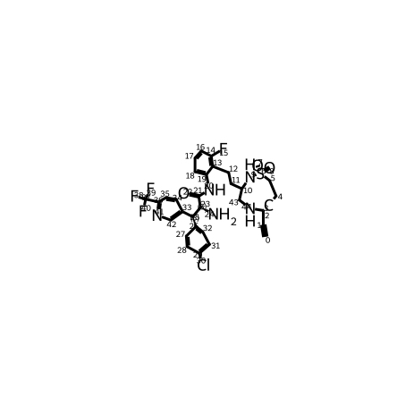 C#CC1CCCS(=O)(=O)NC(CCc2c(F)cccc2NC(=O)[C@@H](N)[C@@H](c2ccc(Cl)cc2)c2ccc(C(F)(F)F)nc2)CN1